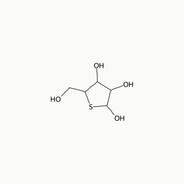 OCC1SC(O)C(O)C1O